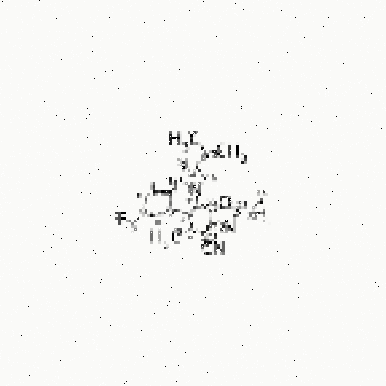 Cc1c(-c2cccc(CF)c2)c(N2CC[C@H](N(C)C)C2)c2oc(C3CC3)nc2c1C#N